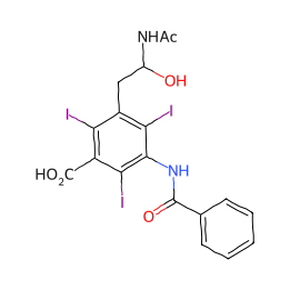 CC(=O)NC(O)Cc1c(I)c(NC(=O)c2ccccc2)c(I)c(C(=O)O)c1I